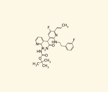 C/C=C/c1nc(NCCc2cccc(F)c2)c(C(C(N)=O)c2cccnc2CNC(=O)OC(C)(C)C)cc1F